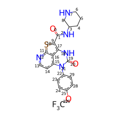 O=C(NC1CCCNC1)c1sc2nccc3c2c1NC(=O)N3c1ccc(OC(F)(F)F)cc1